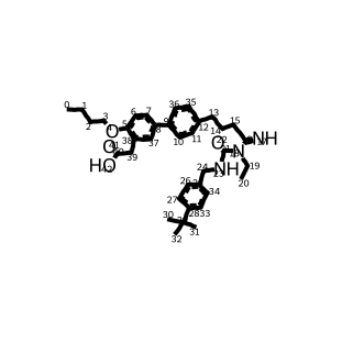 CCCCOc1ccc(-c2ccc(CCCC(=N)N(CC)C(=O)NCc3ccc(C(C)(C)C)cc3)cc2)cc1CC(=O)O